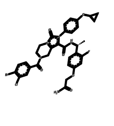 C[C@@H](NC(=O)c1c2n(c(=O)n1-c1ccc(OC3CC3)cc1)CCN(C(=O)c1ccc(Br)c(Cl)c1)C2)c1ccc(OCC(N)=O)cc1F